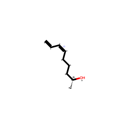 C=C/C=C\CCC[C@@H](C)O